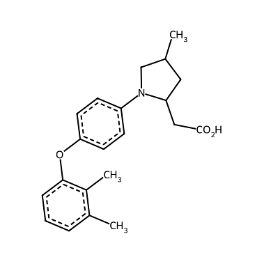 Cc1cccc(Oc2ccc(N3CC(C)CC3CC(=O)O)cc2)c1C